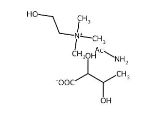 CC(N)=O.CC(O)C(O)C(=O)[O-].C[N+](C)(C)CCO